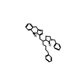 N#Cc1ccccc1Cc1ncc(CN(CCCCc2ccccc2)C2CCN(Cc3ccccc3)C2=O)[nH]1